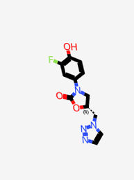 O=C1O[C@@H](Cn2ccnn2)CN1c1ccc(O)c(F)c1